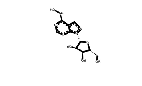 OC[C@H]1O[C@@H](n2ncc3c(NO)ncnc32)[C@H](O)[C@@H]1O